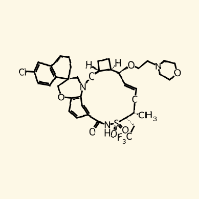 C[C@H]1C/C=C/[C@H](OCCN2CCOCC2)[C@@H]2CC[C@H]2CN2C[C@@]3(CCCc4cc(Cl)ccc43)COc3ccc(cc32)C(=O)NS(=O)(=O)[C@H]1CC(F)(F)F